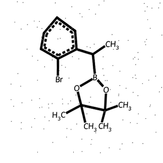 CC(B1OC(C)(C)C(C)(C)O1)c1ccccc1Br